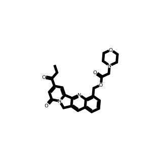 CCC(=O)c1cc2n(c(=O)c1)Cc1cc3cccc(COC(=O)CN4CCOCC4)c3nc1-2